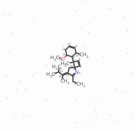 CCC1=NC2(C=CC2(C)C2C(C)C=CCC2OC)C/C1=C(/C)C(C)C